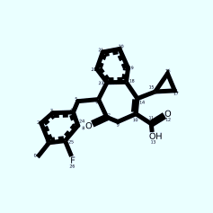 Cc1ccc(CC2C(=O)CC(C(=O)O)=C(C3CC3)c3ccccc32)cc1F